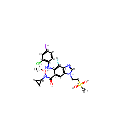 CON(C(=O)c1cc2c(ncn2CCS(C)(=O)=O)c(F)c1Nc1ccc(I)cc1Cl)C1CC1